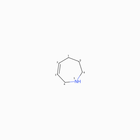 [CH]1CC=CCNC1